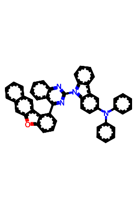 c1ccc(N(c2ccccc2)c2ccc3c(c2)c2ccccc2n3-c2nc(-c3cccc4oc5cc6ccccc6cc5c34)c3ccccc3n2)cc1